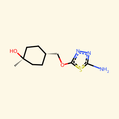 C[C@]1(O)CC[C@H](COc2nnc(N)s2)CC1